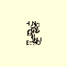 CCC1OC(=O)NC1COc1nccc2cc(C(N)=O)c3nccn3c12